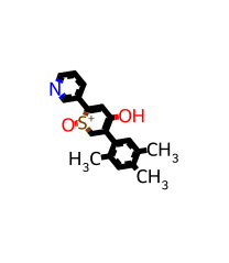 Cc1cc(C)c(C2=C(O)C=C(c3cccnc3)[S+]([O-])C2)cc1C